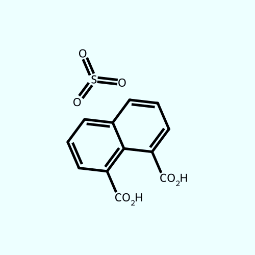 O=C(O)c1cccc2cccc(C(=O)O)c12.O=S(=O)=O